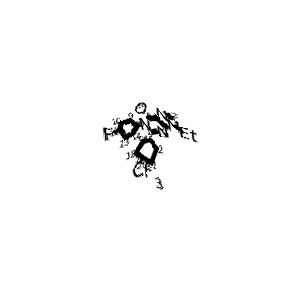 CCn1cnc2c(=O)n(-c3ccc(F)cc3)c([C@H]3CC[C@@H](C(F)(F)F)CC3)nc21